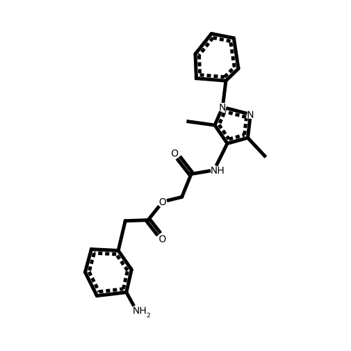 Cc1nn(-c2ccccc2)c(C)c1NC(=O)COC(=O)Cc1cccc(N)c1